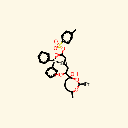 Cc1ccc(S(=O)(=O)OC(CCCC(O)C2(O)CCCC(C)OC(C(C)C)O2)O[Si](c2ccccc2)(c2ccccc2)C(C)(C)C)cc1